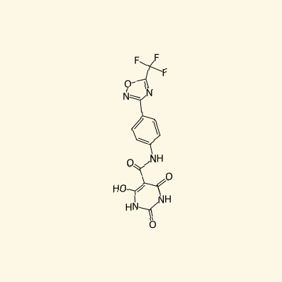 O=C(Nc1ccc(-c2noc(C(F)(F)F)n2)cc1)c1c(O)[nH]c(=O)[nH]c1=O